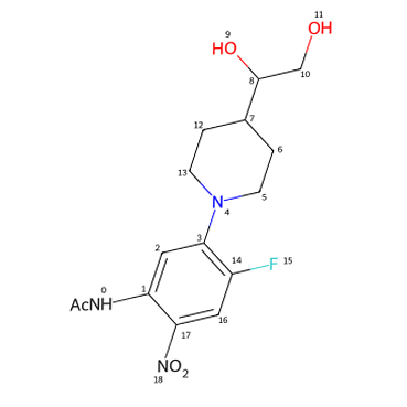 CC(=O)Nc1cc(N2CCC(C(O)CO)CC2)c(F)cc1[N+](=O)[O-]